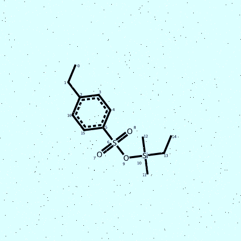 CCc1ccc(S(=O)(=O)O[Si](C)(C)CC)cc1